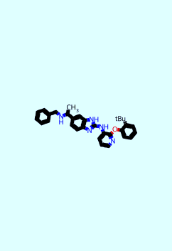 CC(NCc1ccccc1)c1ccc2nc(Nc3cccnc3Oc3ccccc3C(C)(C)C)[nH]c2c1